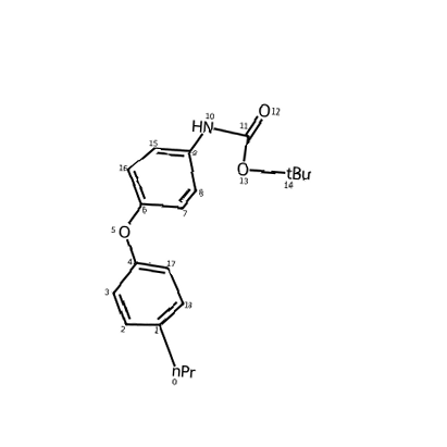 CCCc1ccc(Oc2ccc(NC(=O)OC(C)(C)C)cc2)cc1